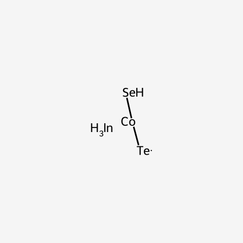 [InH3].[SeH][Co][Te]